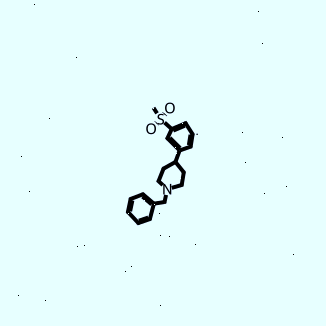 CS(=O)(=O)c1c[c]cc(C2CCN(Cc3ccccc3)CC2)c1